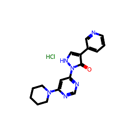 Cl.O=c1c(-c2cccnc2)c[nH]n1-c1cc(N2CCCCC2)ncn1